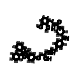 COc1cccc(CNC(=O)N2CCC(Nc3ccc(CCNC[C@H](O)COc4ccc(O[Si](c5ccccc5)(c5ccccc5)C(C)(C)C)cc4)cc3)CC2)c1OC